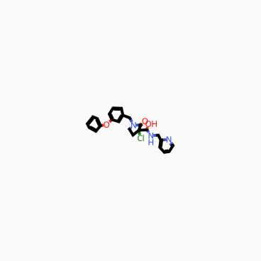 O=C1N(Cc2cccc(Oc3ccccc3)c2)CCC1(Cl)C(O)NCc1ccccn1